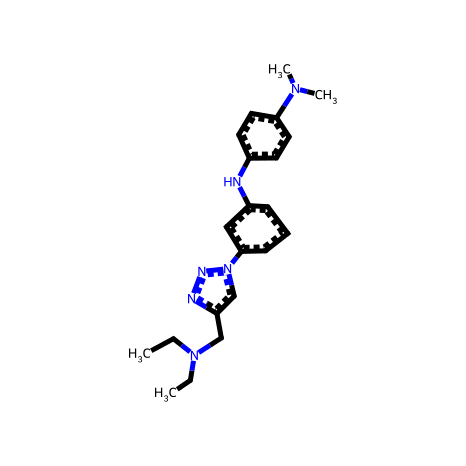 CCN(CC)Cc1cn(-c2cccc(Nc3ccc(N(C)C)cc3)c2)nn1